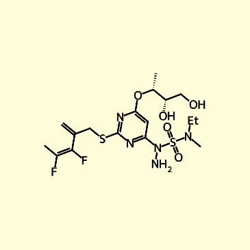 C=C(CSc1nc(O[C@H](C)[C@@H](O)CO)cc(N(N)S(=O)(=O)N(C)CC)n1)/C(F)=C(\C)F